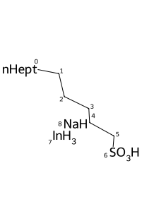 CCCCCCCCCCCCS(=O)(=O)O.[InH3].[NaH]